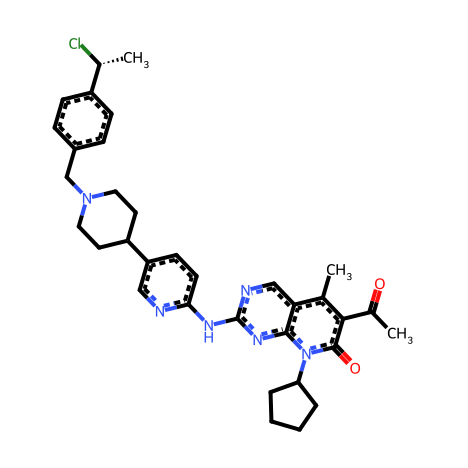 CC(=O)c1c(C)c2cnc(Nc3ccc(C4CCN(Cc5ccc([C@@H](C)Cl)cc5)CC4)cn3)nc2n(C2CCCC2)c1=O